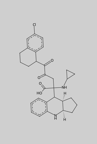 O=C(CC(NC1CC1)(C(=O)O)C1c2ccccc2N[C@@H]2CCC[C@H]12)C(=O)C1CCCc2cc(Cl)ccc21